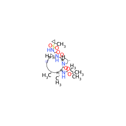 CC[C@@H]1CC(C)CC/C=C\[C@@H]2C[C@@]2(C(=O)NS(=O)(=O)C2(C)CC2)NC(=O)[C@@H]2C[CH]CN2C(=O)[C@H]1NC(=O)OC(C)(C)C